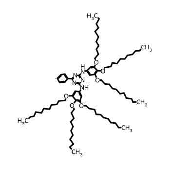 CCCCCCCCCCCOc1cc(Nc2nc(Nc3cc(OCCCCCCCCCCC)c(OCCCCCCCCCCC)c(OCCCCCCCCCCC)c3)nc(-c3cc[c]cc3)n2)cc(OCCCCCCCCCCC)c1OCCCCCCCCCCC